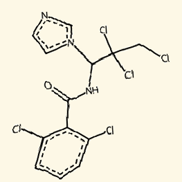 O=C(NC(n1ccnc1)C(Cl)(Cl)CCl)c1c(Cl)cccc1Cl